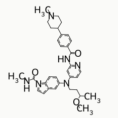 CNC(=O)n1ccc2cc(N(CCC(C)OC)c3ccnc(NC(=O)c4ccc(C5CCN(C)CC5)cc4)c3)ccc21